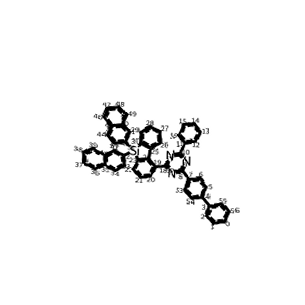 c1ccc(-c2ccc(-c3nc(-c4ccccc4)nc(-c4cccc5c4-c4ccccc4[Si]5(c4ccc5ccccc5c4)c4ccc5ccccc5c4)n3)cc2)cc1